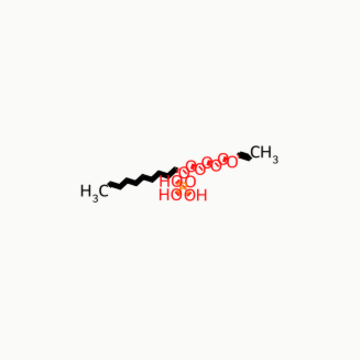 CC=COOOOOOOCCCCCCCCCC.O=P(O)(O)O